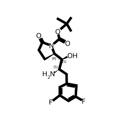 CC(C)(C)OC(=O)N1C(=O)CC[C@@H]1[C@@H](O)[C@@H](N)Cc1cc(F)cc(F)c1